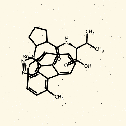 Cc1ccc2oc3c(Br)c2c1-c1cccc-3c1-c1nnnn1C1CCCC1C(=O)N[C@H](C(=O)O)C(C)C